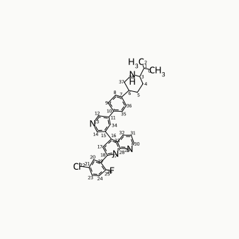 CC(C)C1CCC(c2ccc(-c3cncc(-c4cc(-c5cc(Cl)ccc5F)nc5ncccc45)c3)cc2)CN1